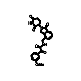 COc1cccc(C(=O)C(=O)NCc2cccc3c2CN(C2CCC(=O)NC2=O)C3=O)c1